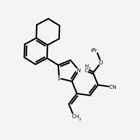 C=C(OC(C)C)/C(C#N)=C\C(=C/C)c1ncc(-c2cccc3c2CCCC3)s1